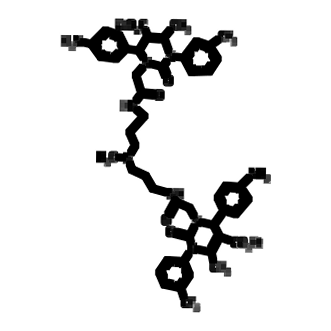 CCOC(=O)C1=C(C)N(c2cccc(C(F)(F)F)c2)C(=O)N(CC(=O)NCCCN(C)CCCNC(=O)CN2C(=O)N(c3cccc(C(F)(F)F)c3)C(C)=C(C(=O)OCC)C2c2ccc(N)cc2)C1c1ccc(N)cc1